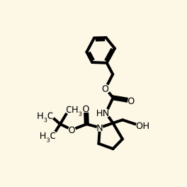 CC(C)(C)OC(=O)N1CCCC1(CO)NC(=O)OCc1ccccc1